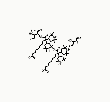 CC1(C)CC(C(CCCCCCCC(=O)[O-])(C(=O)[O-])C2CC(C)(C)NC(C)(C)C2)CC(C)(C)N1.CC1(C)CC(C(CCCCCCCC(=O)[O-])(C(=O)[O-])C2CC(C)(C)NC(C)(C)C2)CC(C)(C)N1.O=CC(O)C(O)C=O.O=CC(O)C(O)C=O.[Sn+4]